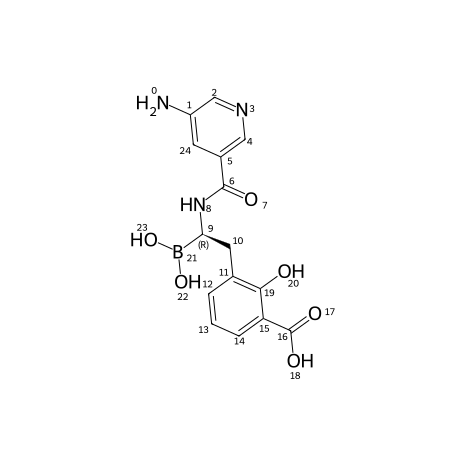 Nc1cncc(C(=O)N[C@@H](Cc2cccc(C(=O)O)c2O)B(O)O)c1